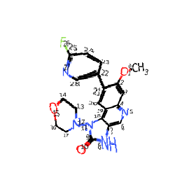 COc1cc2ncc3[nH]c(=O)n(N4CCOCC4)c3c2cc1-c1ccc(F)nc1